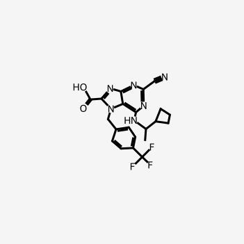 CC(Nc1nc(C#N)nc2nc(C(=O)O)n(Cc3ccc(C(F)(F)F)cc3)c12)C1CCC1